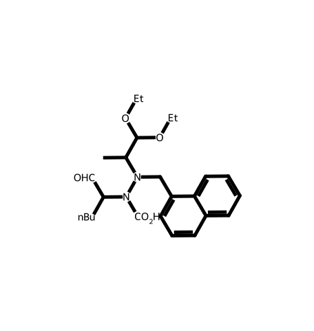 CCCCC(C=O)N(C(=O)O)N(Cc1cccc2ccccc12)C(C)C(OCC)OCC